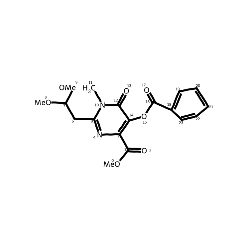 COC(=O)c1nc(CC(OC)OC)n(C)c(=O)c1OC(=O)c1ccccc1